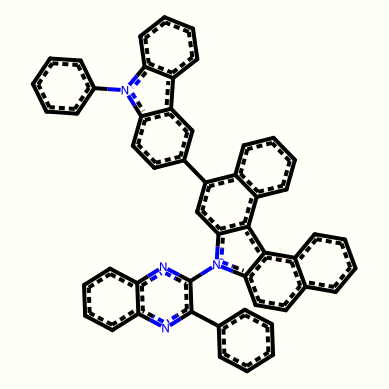 c1ccc(-c2nc3ccccc3nc2-n2c3ccc4ccccc4c3c3c4ccccc4c(-c4ccc5c(c4)c4ccccc4n5-c4ccccc4)cc32)cc1